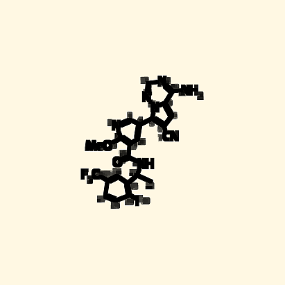 COc1ncc(-c2c(C#N)cc3c(N)ncnn23)cc1C(=O)NC(C)c1cc(C(F)(F)F)ccc1F